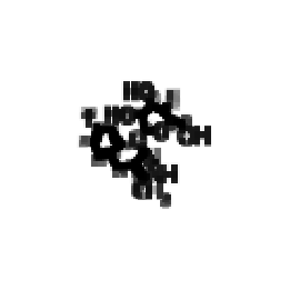 Cc1[nH]nc(OC2OC(CO)C(F)C(O)C2O)c1Cc1ccc(F)cc1